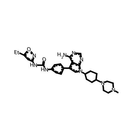 CCc1cc(NC(=O)Nc2ccc(-c3cn(C4CCC(N5CCN(C)CC5)CC4)c4ncnc(N)c34)cc2)no1